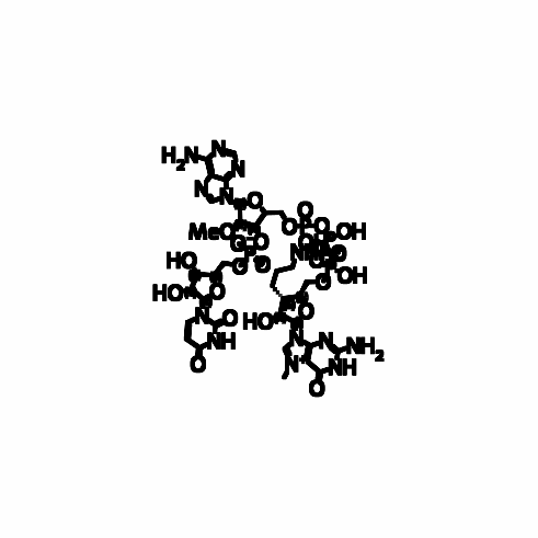 CO[C@@H]1[C@H](OP(=O)([O-])OC[C@H]2O[C@@H](n3ccc(=O)[nH]c3=O)[C@H](O)[C@@H]2O)C(COP(=O)(O)OP(=O)(O)OP(=O)(O)OC[C@H]2O[C@@H](n3c[n+](C)c4c(=O)[nH]c(N)nc43)[C@H](O)[C@@H]2CCCNC(C)=O)O[C@H]1n1cnc2c(N)ncnc21